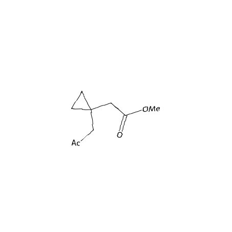 COC(=O)CC1(CC(C)=O)CC1